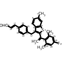 C=C(c1sc2cc(C)ccc2c1Cc1ccc(/C=C/C=O)cc1)c1c(C)cc(F)cc1C